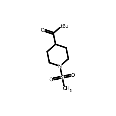 CC(C)(C)C(=O)C1CCN(S(C)(=O)=O)CC1